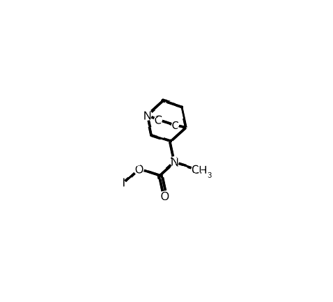 CN(C(=O)OI)C1CN2CCC1CC2